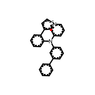 c1ccc(-c2cccc(N(c3cccnc3)c3ccccc3-c3ccsc3)c2)cc1